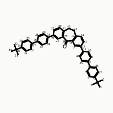 CC(C)(C)c1ccc(-c2ccc(-c3ccc4c(c3)C(=O)c3cc(-c5ccc(-c6ccc(C(C)(C)C)cc6)cc5)ccc3CC4)cc2)cc1